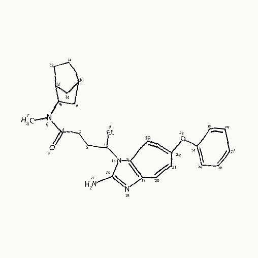 CCC(CCC(=O)N(C)C1CC2CCC1C2)n1c(N)nc2ccc(Oc3ccccc3)cc21